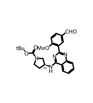 COc1ccc(C=O)cc1-c1nc(N[C@H]2CCN(C(=O)OC(C)(C)C)C2)c2ccccc2n1